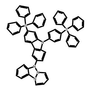 C1=CN2c3ccccc3N(c3ccc4c(c3)c3ccc(S(c5ccccc5)(c5ccccc5)c5ccccc5)cc3n4-c3ccc(S(c4ccccc4)(c4ccccc4)c4ccccc4)cc3)N2C=C1